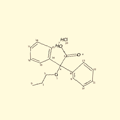 CCCOC(C(=O)O)(c1ccccc1)c1ccccc1.Cl